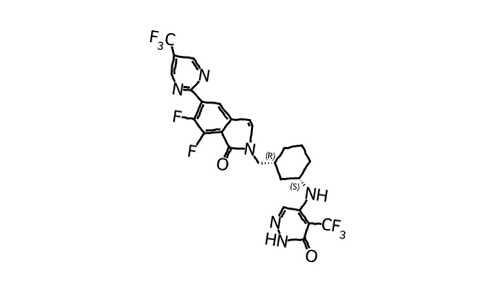 O=c1[nH]ncc(N[C@H]2CCC[C@@H](Cn3ccc4cc(-c5ncc(C(F)(F)F)cn5)c(F)c(F)c4c3=O)C2)c1C(F)(F)F